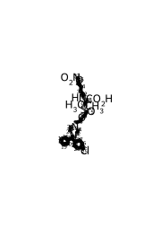 CC(C)(SC(=O)COCCN1CCN(C(c2ccccc2)c2ccc(Cl)cc2)CC1)[C@H](NCCCCO[N+](=O)[O-])C(=O)O